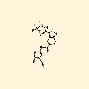 C[C@@H](NC(=O)c1onc2c1CN(C(=O)Nc1ccc(F)c(C#N)c1)CC2)C(F)(F)F